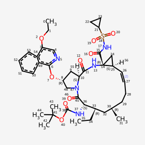 CCOc1cnc(O[C@@H]2C[C@H]3C(=O)N[C@]4(C(=O)NS(=O)(=O)C5CC5)C[C@H]4/C=C\CC[C@@H](C)C[C@@H](CC)[C@H](NC(=O)OC(C)(C)C)C(=O)N3C2)c2ccccc12